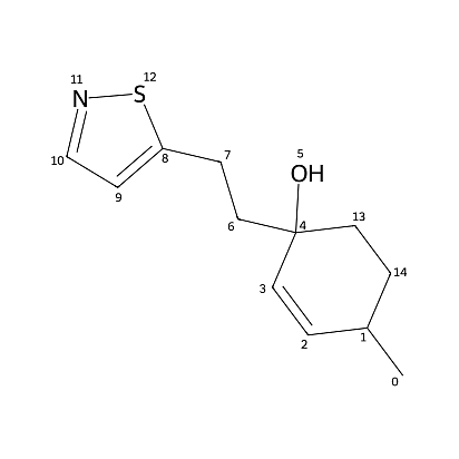 CC1C=CC(O)(CCc2ccns2)CC1